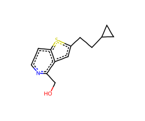 OCc1nccc2sc(CCC3CC3)cc12